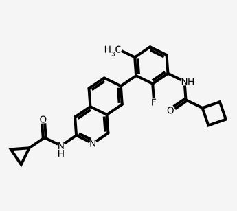 Cc1ccc(NC(=O)C2CCC2)c(F)c1-c1ccc2cc(NC(=O)C3CC3)ncc2c1